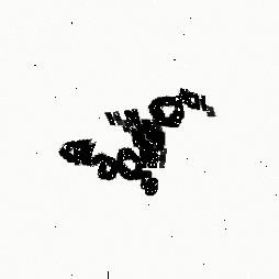 CSc1ccc(-n2nc(NC3C=CC(OCCN4CCCC4)=CC3=C=O)nc2N)cc1